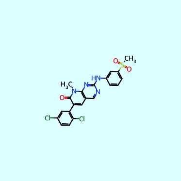 Cn1c(=O)c(-c2cc(Cl)ccc2Cl)cc2cnc(Nc3cccc(S(C)(=O)=O)c3)nc21